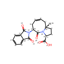 O=C(O)[C@@H]1CC[C@H]2CC=CC[C@H](N3C(=O)c4ccccc4C3=O)C(=O)N21